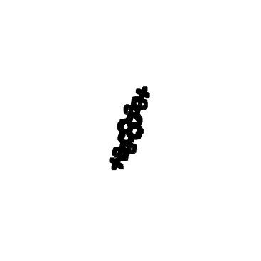 CC(C)(C)c1cc2oc3c(cc4ccc5c6oc7cc(C(C)(C)C)oc7c6cc6ccc3c4c65)c2o1